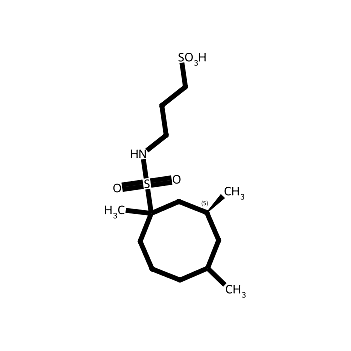 CC1CCCC(C)(S(=O)(=O)NCCCS(=O)(=O)O)C[C@@H](C)C1